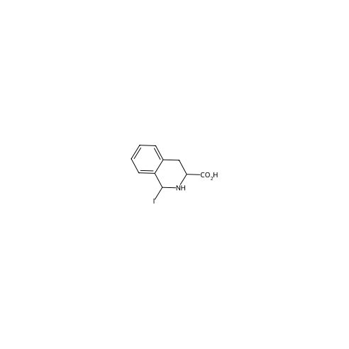 O=C(O)C1Cc2ccccc2C(I)N1